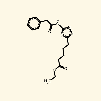 CCOC(=O)CCCCc1nnc(NC(=O)Cc2ccccc2)s1